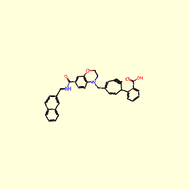 O=C(NCc1ccc2ccccc2c1)c1ccc2c(c1)OCCN2CC1=CC#CC(c2ccccc2C(=O)O)C=C1